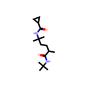 CC(CCC(C)(C)NC(=O)C1CC1)C(=O)NC(C)(C)C